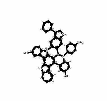 CC(C)(C)c1ccc(N2B3c4cc5occ(-c6ccccc6)c5cc4-n4c5ccc(C(C)(C)C)cc5c5c6oc7ccccc7c6c(c3c54)-c3cc(C(C)(C)C)ccc32)cc1